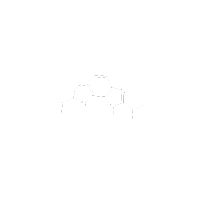 CC(C)c1nc2ccc3sc(C(C)C)nc3c2[nH]1